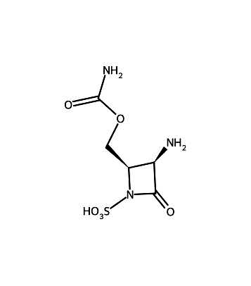 NC(=O)OC[C@H]1[C@@H](N)C(=O)N1S(=O)(=O)O